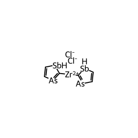 C1=[CH][SbH][C]([Zr+2][C]2=[As]C=[CH][SbH]2)=[As]1.[Cl-].[Cl-]